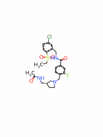 CCS(=O)(=O)c1ccc(Cl)cc1CNC(=O)c1ccc(CN2CC[C@@H](CNC(C)=O)C2)c(F)c1